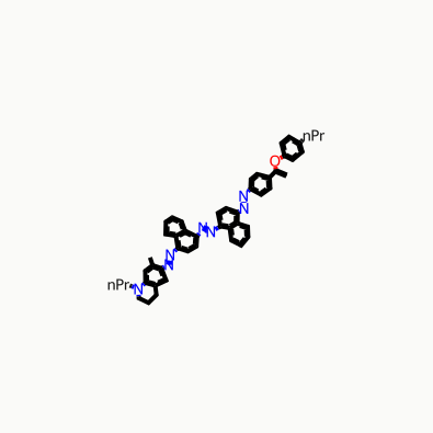 C=C(Oc1ccc(CCC)cc1)c1ccc(/N=N/c2ccc(/N=N/c3ccc(/N=N/c4cc5c(cc4C)N(CCC)CCC5)c4ccccc34)c3ccccc23)cc1